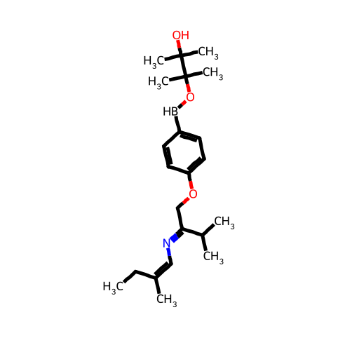 CC/C(C)=C\N=C(\COc1ccc(BOC(C)(C)C(C)(C)O)cc1)C(C)C